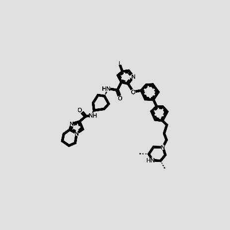 C[C@@H]1CN(CCCc2ccc(-c3cccc(Oc4ncc(I)cc4C(=O)N[C@H]4CC[C@@H](NC(=O)c5cn6c(n5)CCCC6)CC4)c3)cc2)C[C@H](C)N1